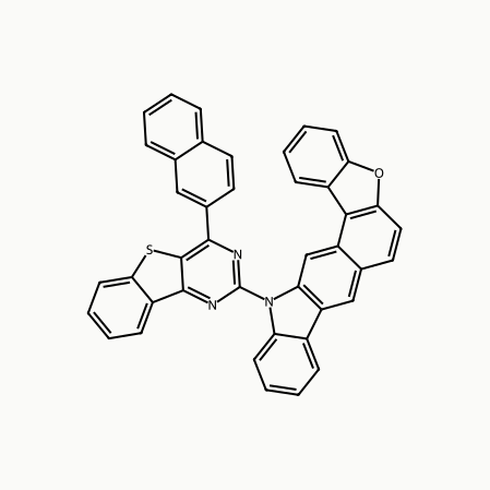 c1ccc2cc(-c3nc(-n4c5ccccc5c5cc6ccc7oc8ccccc8c7c6cc54)nc4c3sc3ccccc34)ccc2c1